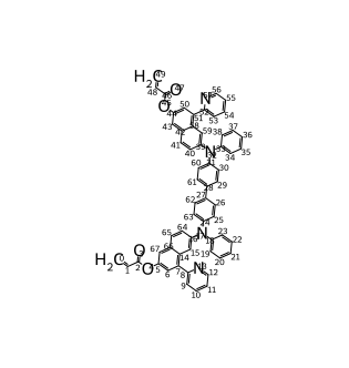 C=CC(=O)Oc1cc(-c2ccccn2)c2cc(N(c3ccccc3)c3ccc(-c4ccc(N(c5ccccc5)c5ccc6cc(OC(=O)C=C)cc(-c7ccccn7)c6c5)cc4)cc3)ccc2c1